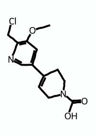 COc1cc(C2=CCN(C(=O)O)CC2)cnc1CCl